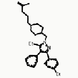 C=C(C)CCCC1CCC(Cn2nc(-c3ccc(CC)cc3)c(-c3ccccc3)c2CC)CC1